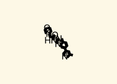 Cc1cncc(-c2ccc3cnc(NC(=O)CN4CCOCC4)nc3c2)c1